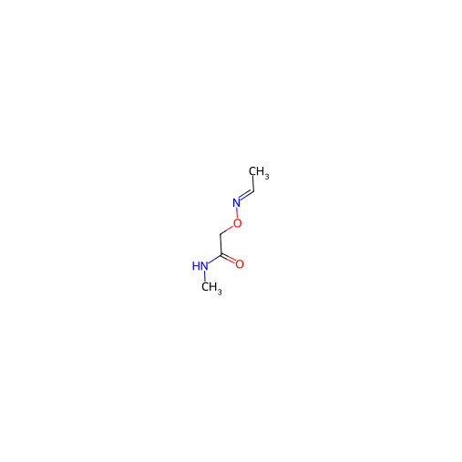 C/C=N/OCC(=O)NC